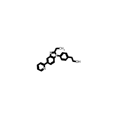 CCc1nc2cc(-c3ccccn3)ccc2n1-c1ccc(CCO)cc1